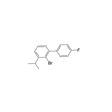 CC(C)c1cc[c]c(-c2ccc(F)cc2)c1Br